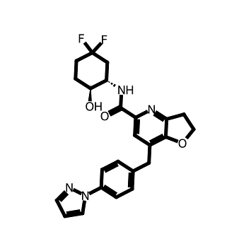 O=C(N[C@H]1CC(F)(F)CC[C@@H]1O)c1cc(Cc2ccc(-n3cccn3)cc2)c2c(n1)CCO2